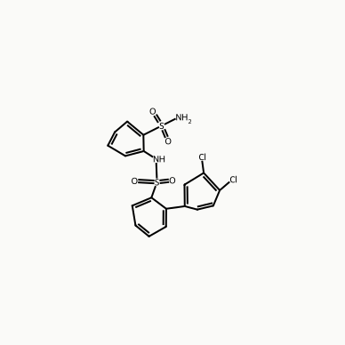 NS(=O)(=O)c1ccccc1NS(=O)(=O)c1ccccc1-c1ccc(Cl)c(Cl)c1